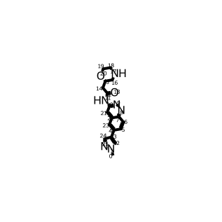 Cn1cc(-c2ccc3nnc(NC(=O)CC4CNCCO4)cc3c2)cn1